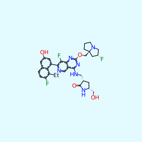 CCc1c(F)ccc2cc(O)cc(-c3ncc4c(NC[C@@H]5C[C@H](CO)NC5=O)nc(OC[C@@]56CCCN5C[C@H](F)C6)nc4c3F)c12